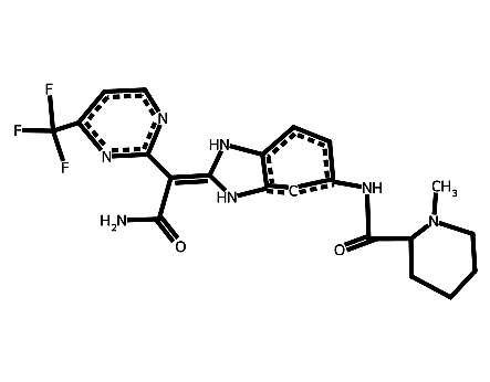 CN1CCCCC1C(=O)Nc1ccc2c(c1)NC(=C(C(N)=O)c1nccc(C(F)(F)F)n1)N2